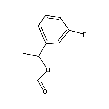 CC(OC=O)c1cccc(F)c1